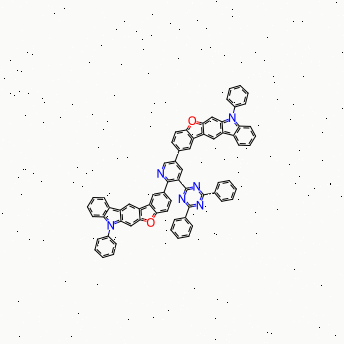 c1ccc(-c2nc(-c3ccccc3)nc(-c3cc(-c4ccc5oc6cc7c(cc6c5c4)c4ccccc4n7-c4ccccc4)cnc3-c3ccc4oc5cc6c(cc5c4c3)c3ccccc3n6-c3ccccc3)n2)cc1